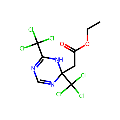 CCOC(=O)CC1(C(Cl)(Cl)Cl)N=CN=C(C(Cl)(Cl)Cl)N1